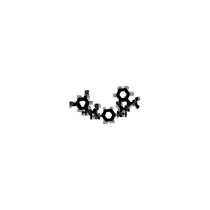 CN(C)c1nc(N[C@H]2CC[C@@H](NC(=S)Nc3cc(F)cc(F)c3)CC2)nc2c1CCCC2